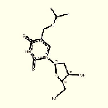 CC(C)OCc1cn([C@H]2C[C@@H](O)[C@@H](CO)O2)c(=O)[nH]c1=O